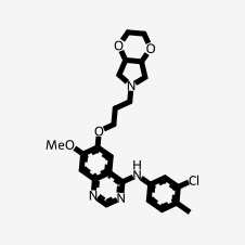 COc1cc2ncnc(Nc3ccc(C)c(Cl)c3)c2cc1OCCCN1CC2OCCOC2C1